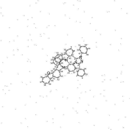 c1ccc(-c2nc(-c3cccc4c5ccccc5n(-c5ccccc5-n5c6ccccc6c6c7oc8ccccc8c7ccc65)c34)n(-c3ccccc3)n2)cc1